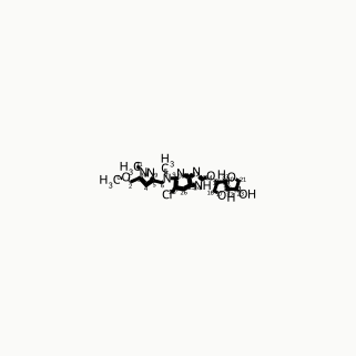 COCc1cc(CN(C)c2nc3nc(O[C@@H]4CO[C@H]5[C@@H]4OC[C@H]5O)[nH]c3cc2Cl)nn1C